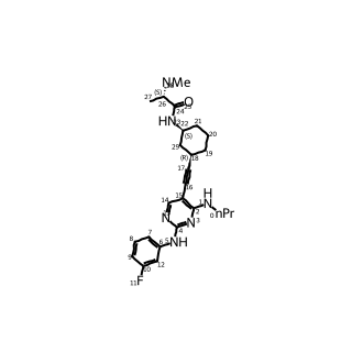 CCCNc1nc(Nc2cccc(F)c2)ncc1C#C[C@@H]1CCC[C@H](NC(=O)[C@H](C)NC)C1